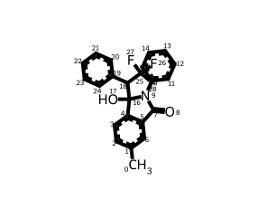 Cc1ccc2c(c1)C(=O)N(c1ccccc1)C2(O)C(c1ccccc1)C(F)(F)F